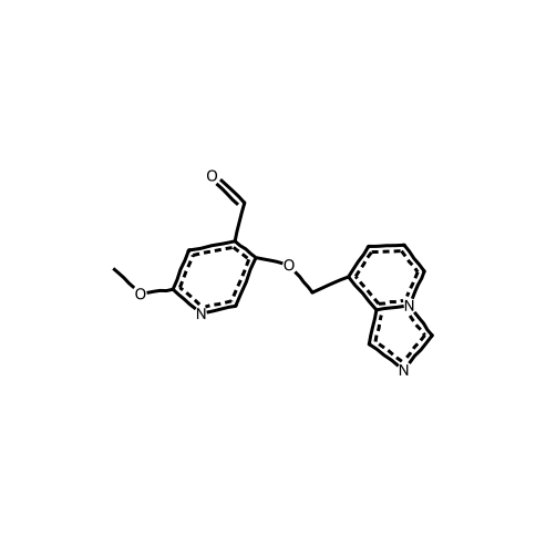 COc1cc(C=O)c(OCc2cccn3cncc23)cn1